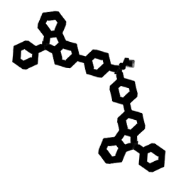 CC(=O)N(c1ccc(-c2ccc3c(c2)c2ccccc2n3-c2ccccc2)cc1)c1ccc(-c2ccc3c(c2)c2ccccc2n3-c2ccccc2)cc1